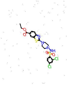 CCOC(=O)c1ccc2nc(N3CCN(NS(=O)(=O)c4ccc(Cl)cc4Cl)CC3)sc2c1